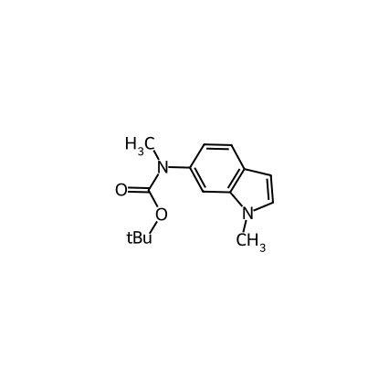 CN(C(=O)OC(C)(C)C)c1ccc2ccn(C)c2c1